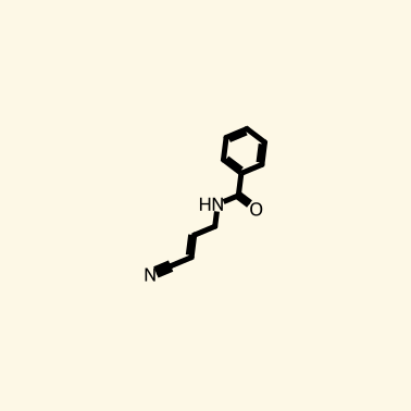 N#CC=CCNC(=O)c1ccccc1